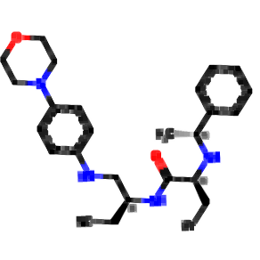 CC(C)C[C@H](N[C@@H](c1ccccc1)C(F)(F)F)C(=O)N[C@@H](CC#N)CNc1ccc(N2CCOCC2)cc1